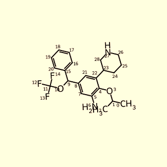 CC(C)Oc1c(N)cc(C(OC(F)(F)F)c2ccccc2)cc1C1CCCNC1